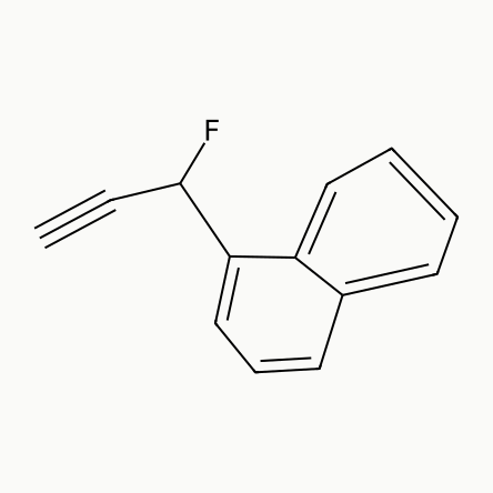 C#CC(F)c1cccc2ccccc12